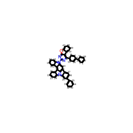 c1ccc(-c2ccc(-c3nc(-n4c5ccccc5c5c6c7ccccc7n7c8cc(-c9ccccc9)ccc8c(cc54)c67)nc4oc5ccccc5c34)cc2)cc1